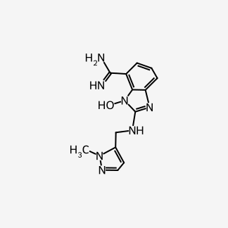 Cn1nccc1CNc1nc2cccc(C(=N)N)c2n1O